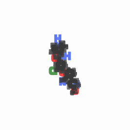 COc1ccc(-c2cccc(Oc3ccc(C(=O)NC4CC(C)(C)NC(C)(C)C4)cc3Cl)c2C#N)cn1